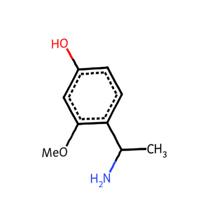 COc1cc(O)ccc1C(C)N